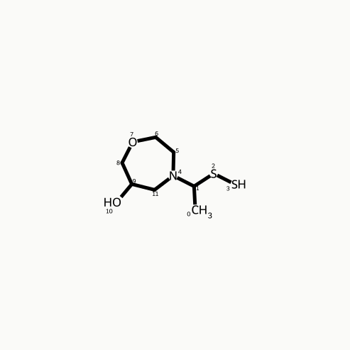 CC(SS)N1CCOCC(O)C1